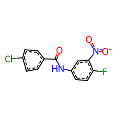 O=C(Nc1ccc(F)c([N+](=O)[O-])c1)c1ccc(Cl)cc1